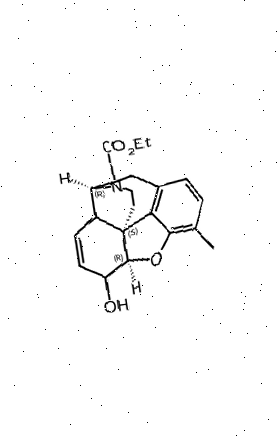 CCOC(=O)N1CC[C@]23c4c5ccc(C)c4O[C@H]2C(O)C=CC3[C@H]1C5